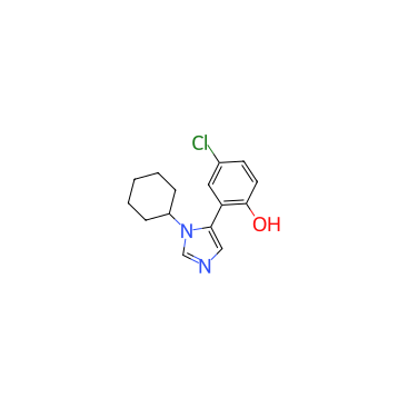 Oc1ccc(Cl)cc1-c1cncn1C1CCCCC1